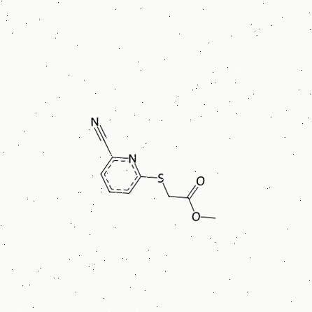 COC(=O)CSc1cccc(C#N)n1